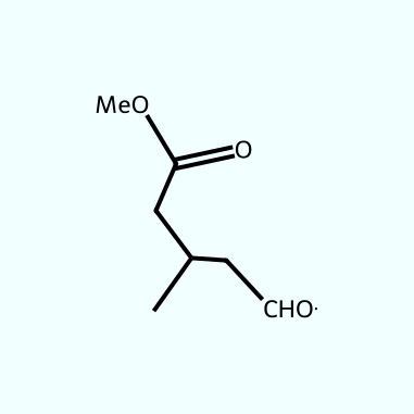 COC(=O)CC(C)C[C]=O